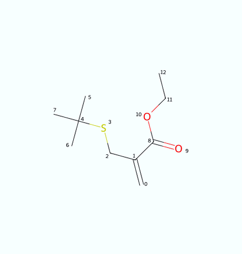 C=C(CSC(C)(C)C)C(=O)OCC